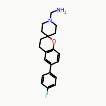 NCN1CCC2(CCc3cc(-c4ccc(F)cc4)ccc3O2)CC1